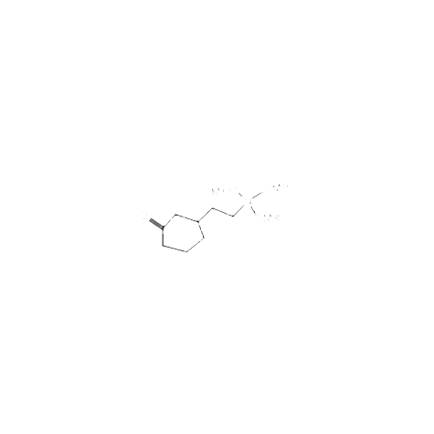 CO[Si](CCC1CCCC(=O)C1)(OC)OC